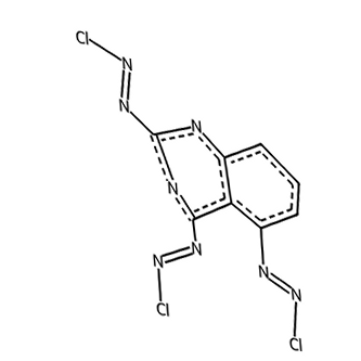 ClN=Nc1nc(N=NCl)c2c(N=NCl)cccc2n1